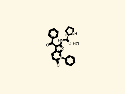 Cl.O=C(c1ccccc1)c1c(NC(=O)[C@H]2CCCN2)sc2c1ccc(=O)n2-c1ccccc1